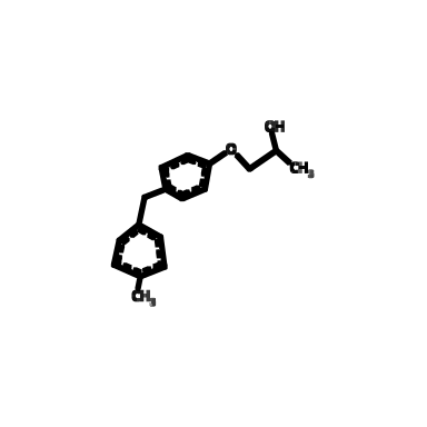 Cc1ccc(Cc2ccc(OCC(C)O)cc2)cc1